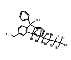 CCc1ccc(C(O)(c2ccccc2)c2ccccc2)c(C(Br)(Br)C(Br)(Br)C(Br)(Br)C(Br)(Br)C(Br)(Br)C(Br)(Br)Br)c1